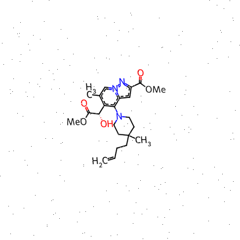 C=CCCC1(C)CCN(c2c([C@H](O)C(=O)OC)c(C)cn3nc(C(=O)OC)cc23)CC1